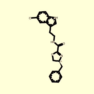 O=C(NCCc1c[nH]c2ccc(Cl)cc12)C1=N[C@@H](Cc2ccccc2)CO1